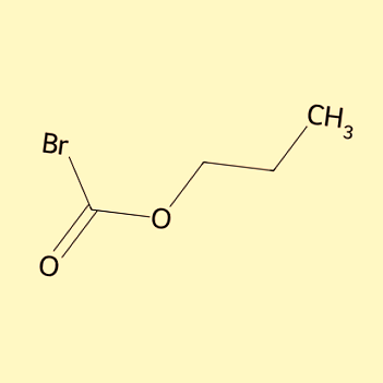 CCCOC(=O)Br